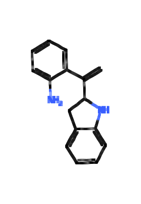 C=C(c1ccccc1N)C1Cc2ccccc2N1